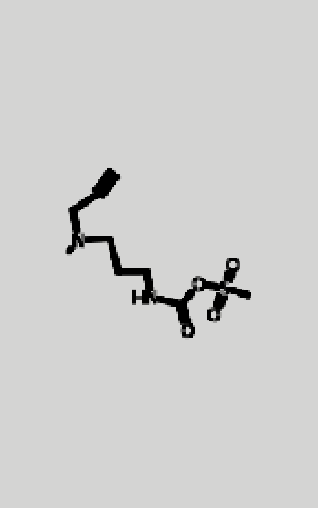 C#CCN(C)CCCNC(=O)OS(C)(=O)=O